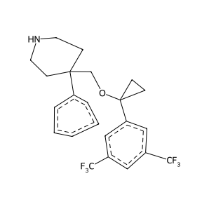 FC(F)(F)c1cc(C(F)(F)F)cc(C2(OCC3(c4ccccc4)CCNCC3)CC2)c1